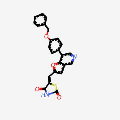 O=C1NC(=O)/C(=C/c2cc3cncc(-c4ccc(OCc5ccccc5)cc4)c3o2)S1